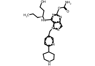 CCC[C@@H](CCO)Nc1nc(OC(N)=O)nc2cnn(Cc3ccc(C4CCNCC4)nc3)c12